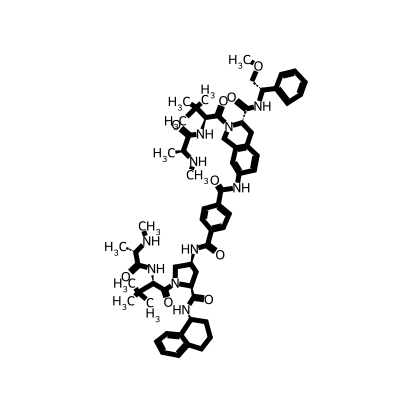 CN[C@@H](C)C(=O)N[C@H](C(=O)N1Cc2cc(NC(=O)c3ccc(C(=O)N[C@H]4C[C@@H](C(=O)N[C@@H]5CCCc6ccccc65)N(C(=O)[C@@H](NC(=O)[C@H](C)NC)C(C)(C)C)C4)cc3)ccc2C[C@H]1C(=O)N[C@H](COC)c1ccccc1)C(C)(C)C